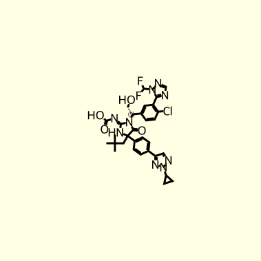 CC(C)(C)CC1(c2ccc(-c3cnn(C4CC4)n3)cc2)NC(=NC(=O)O)N([C@H](CO)c2ccc(Cl)c(-c3ncnn3C(F)F)c2)C1=O